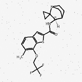 Cc1ccc2cc(C(=O)N[C@@H]3C4CCN(CC4)C34CC4)sc2c1OCC(F)(F)F